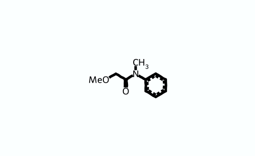 COCC(=O)N(C)c1ccccc1